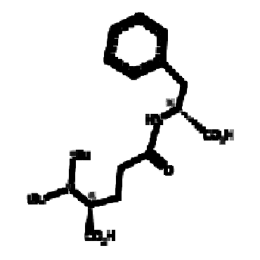 CC(C)(C)N([C@@H](CCC(=O)N[C@H](Cc1ccccc1)C(=O)O)C(=O)O)C(C)(C)C